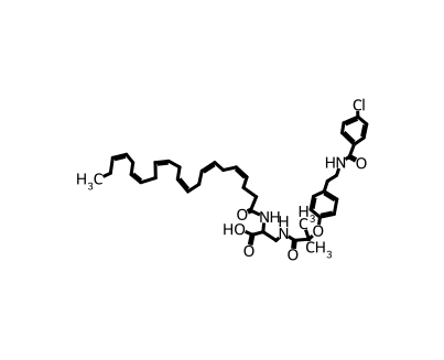 CC/C=C\C/C=C\C/C=C\C/C=C\C/C=C\C/C=C\CCC(=O)NC(CNC(=O)C(C)(C)Oc1ccc(CCNC(=O)c2ccc(Cl)cc2)cc1)C(=O)O